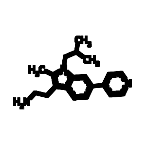 Cc1c(CCN)c2ccc(-c3ccncc3)cc2n1CC(C)C